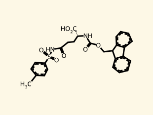 Cc1ccc(S(=O)(=O)NC(=O)CC[C@@H](NC(=O)OCC2c3ccccc3-c3ccccc32)C(=O)O)cc1